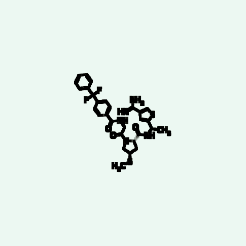 CS[C@@H]1C[C@@H](C(=O)N[C@H](C)c2cc(C(=N)N)cs2)N(C(=O)CNC(=O)c2ccc(C(F)(F)c3ccccc3)cc2)C1